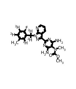 [2H]c1c([2H])c(F)c(C([2H])([2H])n2nc(-c3nc(N)c(N(C)C(=O)OC)c(N)n3)c3cccnc32)c([2H])c1C